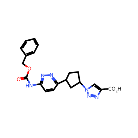 O=C(Nc1ccc(C2CCC(n3cc(C(=O)O)nn3)C2)nn1)OCc1ccccc1